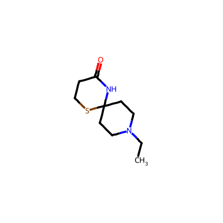 CCN1CCC2(CC1)NC(=O)CCS2